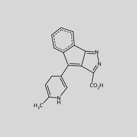 CC1=CCC(C2=C3C(C(=O)O)=NN=C3c3ccccc32)=CN1